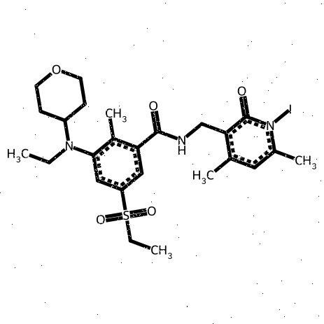 CCN(c1cc(S(=O)(=O)CC)cc(C(=O)NCc2c(C)cc(C)n(I)c2=O)c1C)C1CCOCC1